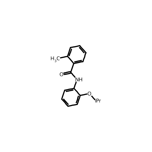 Cc1ccccc1C(=O)Nc1ccccc1OC(C)C